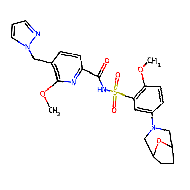 COc1ccc(N2CC3CCC(C2)O3)cc1S(=O)(=O)NC(=O)c1ccc(Cn2cccn2)c(OC)n1